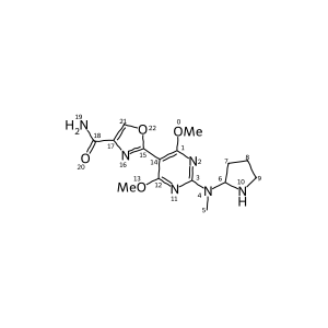 COc1nc(N(C)C2CCCN2)nc(OC)c1-c1nc(C(N)=O)co1